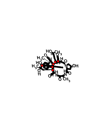 C[C@@H]1NC(=O)C2C[C@@H](O)CN2C(=O)[C@H]2CSc3[nH]c4ccccc4c3C[C@H](NC1=O)C(=O)N[C@@H](CC(C)(O)CO)C(=O)N[C@H](C)C(=O)N[C@H]([C@H](C)O)C(=O)N2